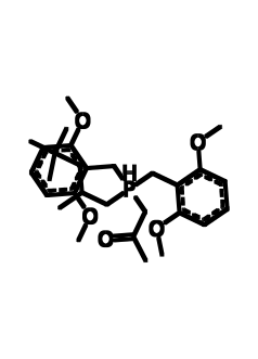 COc1cccc(OC)c1C[PH](CC(C)=O)(Cc1c(OC)cccc1OC)CC(C)CC(C)(C)C